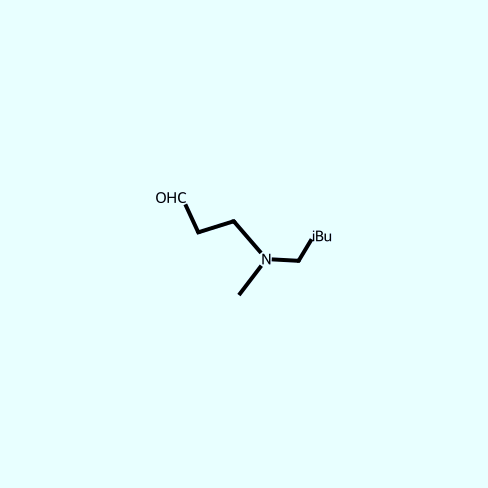 CCC(C)CN(C)CCC=O